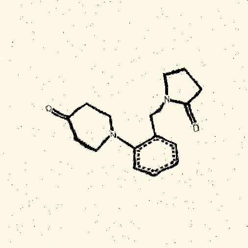 O=C1CCN(c2ccccc2CN2CCCC2=O)CC1